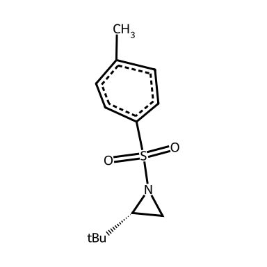 Cc1ccc(S(=O)(=O)N2C[C@@H]2C(C)(C)C)cc1